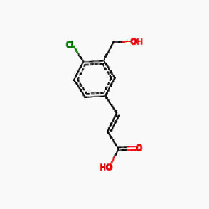 O=C(O)C=Cc1ccc(Cl)c(CO)c1